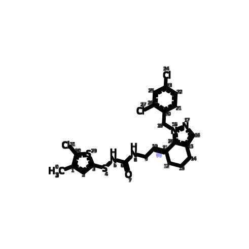 Cc1cc(SNC(=O)NC/C=C2\CCCc3cnn(Cc4ccc(Cl)cc4Cl)c32)sc1Cl